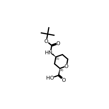 CC(C)(C)OC(=O)N[C@H]1CCO[C@@H](C(=O)O)C1